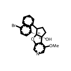 COc1cncc2c1[C@]1(O)CCC(c3ccccc3)[C@]1(c1ccc(Br)cc1)O2